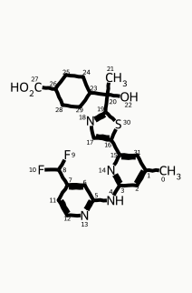 Cc1cc(Nc2cc(C(F)F)ccn2)nc(-c2cnc(C(C)(O)C3CCC(C(=O)O)CC3)s2)c1